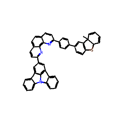 CC12C=CC=CC1Sc1ccc(-c3ccc(-c4ccc5ccc6ccc(-c7cc8c9ccccc9n9c%10ccccc%10c(c7)c89)nc6c5n4)cc3)cc12